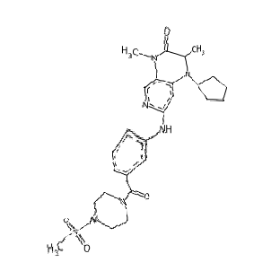 CC1C(=O)N(C)c2cnc(Nc3cccc(C(=O)N4CCN(S(C)(=O)=O)CC4)c3)cc2N1C1CCCC1